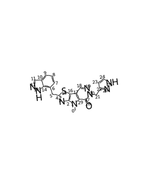 Cn1c2nc(Cc3cccc4cn[nH]c34)sc2c2cnn(Cc3cc[nH]n3)c(=O)c21